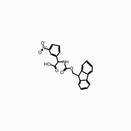 O=C(NC(C(=O)O)c1cccc([N+](=O)[O-])c1)OCC1c2ccccc2-c2ccccc21